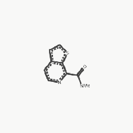 CNC(=O)c1nccc2ccsc12